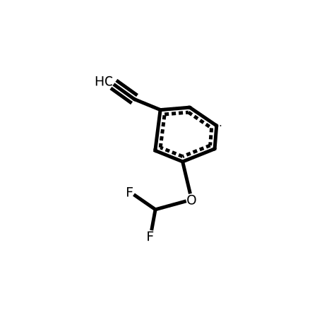 C#Cc1c[c]cc(OC(F)F)c1